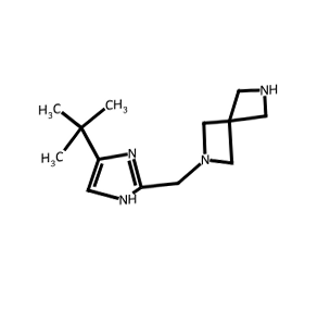 CC(C)(C)c1c[nH]c(CN2CC3(CNC3)C2)n1